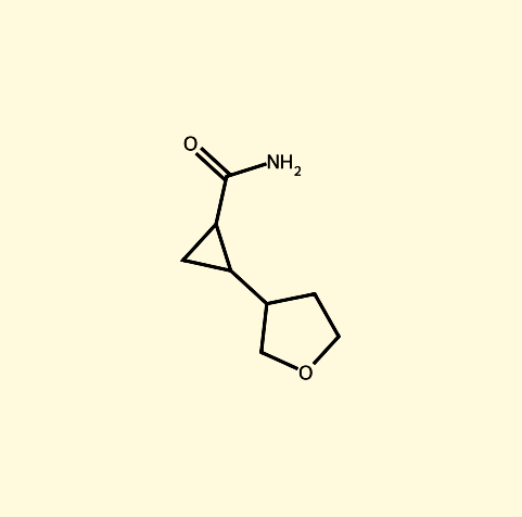 NC(=O)C1CC1C1CCOC1